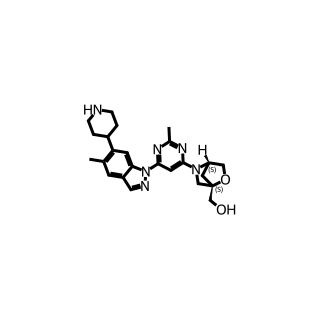 Cc1nc(N2C[C@]3(CO)C[C@H]2CO3)cc(-n2ncc3cc(C)c(C4CCNCC4)cc32)n1